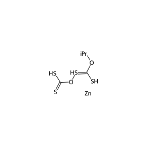 CC(C)OC(S)=[SH]OC(=S)S.[Zn]